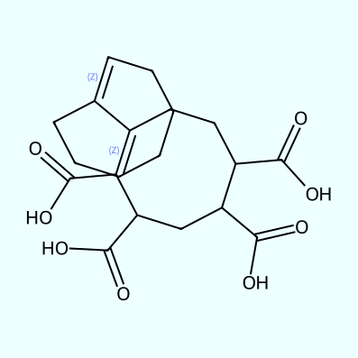 O=C(O)/C1=C(\C2=C/CCCCCC2)CCC(C(=O)O)C(C(=O)O)CC1C(=O)O